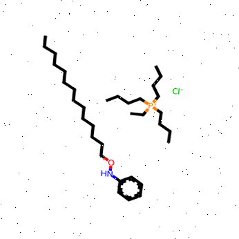 CCCCCCCCCCCCCCONc1ccccc1.CCCC[P+](CC)(CCCC)CCCC.[Cl-]